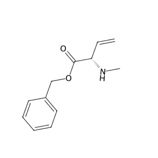 C=C[C@H](NC)C(=O)OCc1ccccc1